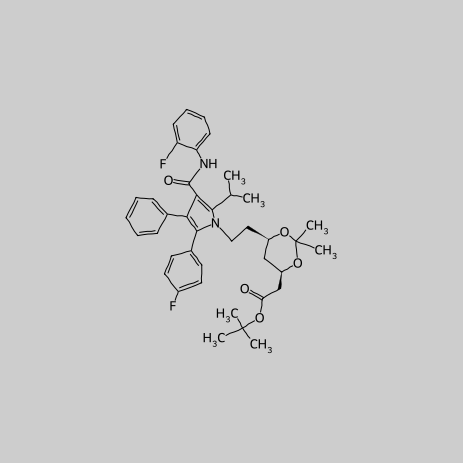 CC(C)c1c(C(=O)Nc2ccccc2F)c(-c2ccccc2)c(-c2ccc(F)cc2)n1CC[C@@H]1C[C@H](CC(=O)OC(C)(C)C)OC(C)(C)O1